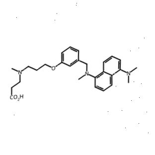 CN(CCCOc1cccc(CN(C)c2cccc3c(N(C)C)cccc23)c1)CCC(=O)O